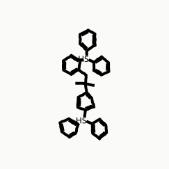 CC(C)(Cc1ccccc1[SH](c1ccccc1)c1ccccc1)c1ccc([SH](c2ccccc2)c2ccccc2)cc1